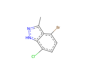 Cc1n[nH]c2c(Cl)ccc(Br)c12